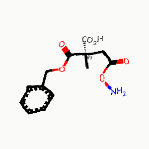 C[C@@](CC(=O)ON)(C(=O)O)C(=O)OCc1ccccc1